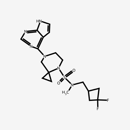 CN(CC1CC(F)(F)C1)S(=O)(=O)N1CCN(c2ncnc3[nH]ccc23)CC12CC2